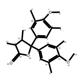 COc1c(C)cc(C2(c3cc(C)c(OC)c(C)c3)OC(=O)C(C)C2C)cc1C